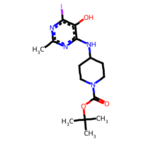 Cc1nc(I)c(O)c(NC2CCN(C(=O)OC(C)(C)C)CC2)n1